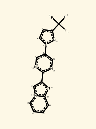 FC(F)(F)c1ccn(-c2cnc(-c3cn4ccccc4n3)nc2)n1